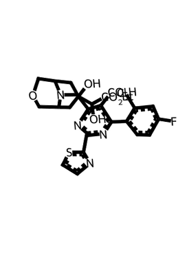 CCOC(=O)C(O)C1(O)CC2COCC(C1)N2Cc1nc(-c2nccs2)nc(-c2ccc(F)cc2Cl)c1C(=O)O